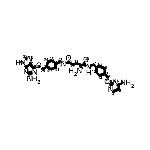 Nc1ccnc(OCc2ccc(CNC(=O)C(N)CCC(=O)NCc3ccc(COc4nc(N)nc5[nH]cnc45)cc3)cc2)n1